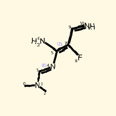 CN(C)/C=N/C(N)=C(\F)C=N